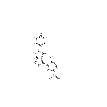 Cc1ccc([N+](=O)[O-])cc1-n1ccn2nc(-c3ccnnc3)cc12